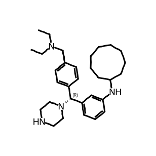 CCN(CC)Cc1ccc([C@H](c2cccc(NC3CCCCCCCC3)c2)N2CCNCC2)cc1